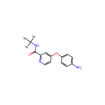 [2H]C([2H])([2H])NC(=O)c1cc(Oc2ccc(N)cc2)ccn1